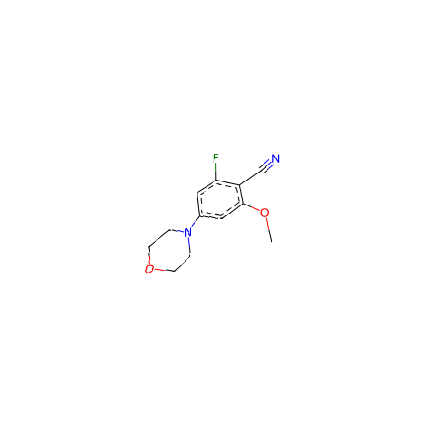 COc1cc(N2CCOCC2)cc(F)c1C#N